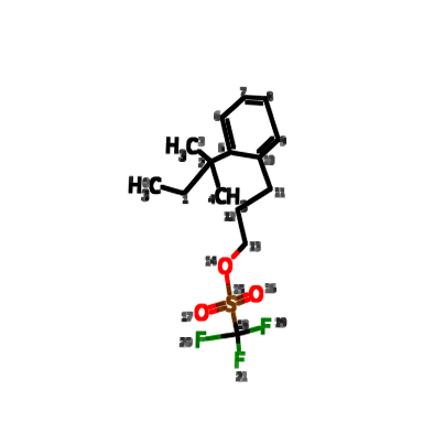 CCC(C)(C)c1ccccc1CCCOS(=O)(=O)C(F)(F)F